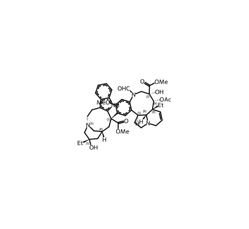 CC[C@]1(O)C[C@@H]2C[N@@](CCc3c([nH]c4ccccc34)[C@@](C(=O)OC)(c3cc4c(cc3OC)N(C=O)C[C@@](O)(C(=O)OC)[C@H](OC(C)=O)[C@]3(CC)C=CCN5CC[C@@H]4[C@@H]53)C2)C1